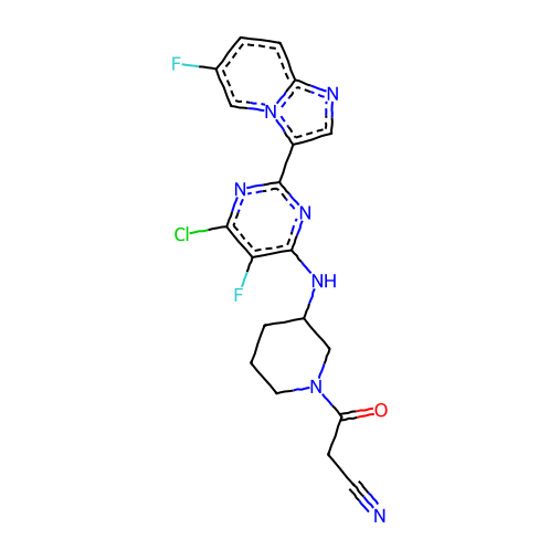 N#CCC(=O)N1CCCC(Nc2nc(-c3cnc4ccc(F)cn34)nc(Cl)c2F)C1